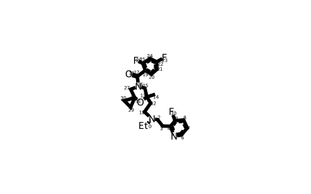 CCN(CCc1ncccc1F)CCC1(C)CN(C(=O)c2ccc(F)cc2F)CC2(CC2)O1